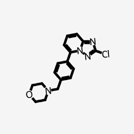 Clc1nc2cccc(-c3ccc(CN4CCOCC4)cc3)n2n1